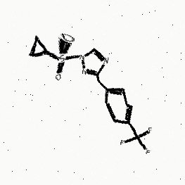 O=S(=O)(C1CC1)n1cnc(-c2ccc(C(F)(F)F)cc2)n1